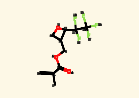 C=C(C)C(=O)OCC1COC1C(F)(F)C(F)(F)F